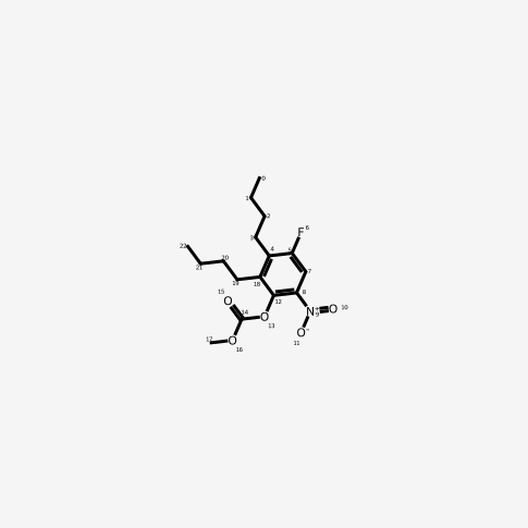 CCCCc1c(F)cc([N+](=O)[O-])c(OC(=O)OC)c1CCCC